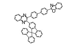 c1ccc2c(c1)-c1ccccc1C21c2ccccc2-c2ccc(-c3nc4ccccc4nc3-c3ccc(-c4ccc(-c5nc6ccccc6o5)cc4)cc3)cc21